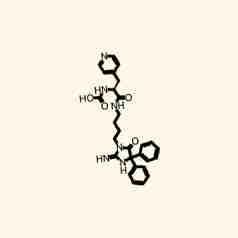 N=C1NC(c2ccccc2)(c2ccccc2)C(=O)N1CCCCNC(=O)[C@H](Cc1ccncc1)NC(=O)O